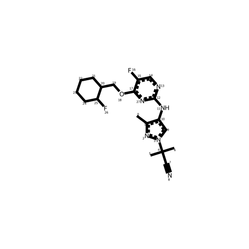 Cc1nn(C(C)(C)C#N)cc1Nc1ncc(F)c(OCC2CCCCC2F)n1